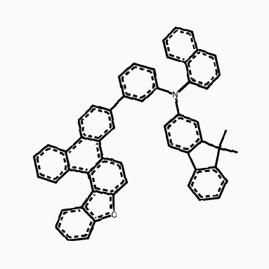 CC1(C)c2ccccc2-c2ccc(N(c3cccc(-c4ccc5c6ccccc6c6c(ccc7oc8ccccc8c76)c5c4)c3)c3cccc4ccccc34)cc21